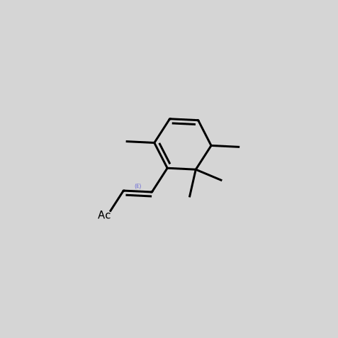 CC(=O)/C=C/C1=C(C)C=CC(C)C1(C)C